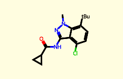 Cn1nc(NC(=O)C2CC2)c2c(Cl)ccc(C(C)(C)C)c21